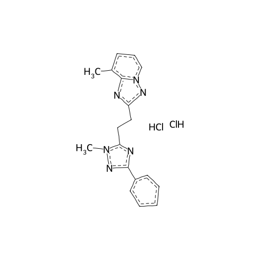 Cc1cccn2nc(CCc3nc(-c4ccccc4)nn3C)nc12.Cl.Cl